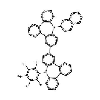 [2H]c1c([2H])c([2H])c(N2c3ccccc3-c3ccccc3-c3cc(-c4ccc5c(c4)-c4ccccc4-c4ccccc4N5c4ccc5ccccc5c4)ccc32)c([2H])c1[2H]